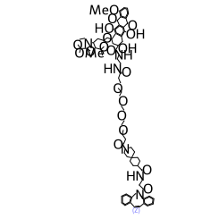 COc1cccc2c1C(=O)c1c(O)c3c(c(O)c1C2=O)CC(O)(C(=O)NCCNC(=O)CCOCCOCCOCCOCCC(=O)N1CCC2(CCC(C(=O)NCCC(=O)N4Cc5ccccc5/C=C\c5ccccc54)CC2)CC1)CC3OC1CC2C(OC3C(OC)OCCN23)C(C)O1